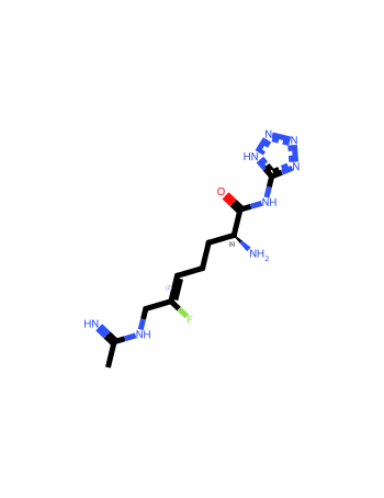 CC(=N)NC/C(F)=C/CC[C@H](N)C(=O)Nc1nnn[nH]1